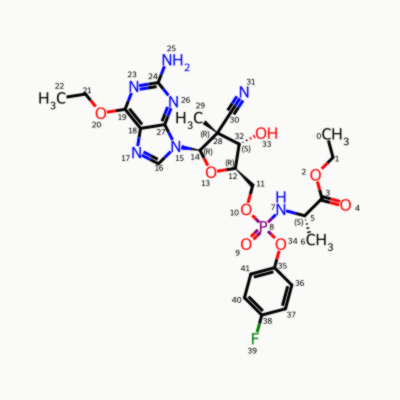 CCOC(=O)[C@H](C)NP(=O)(OC[C@H]1O[C@@H](n2cnc3c(OCC)nc(N)nc32)[C@](C)(C#N)[C@@H]1O)Oc1ccc(F)cc1